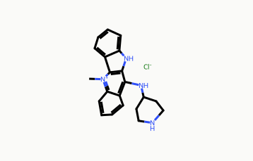 C[n+]1c2ccccc2c(NC2CCNCC2)c2[nH]c3ccccc3c21.[Cl-]